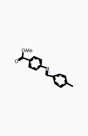 COC(=O)c1ccc(/N=C/c2ccc(C)cc2)cc1